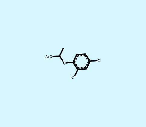 CC(=O)OC(C)Oc1ccc(Cl)cc1Cl